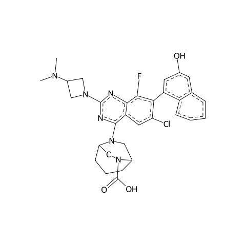 CN(C)C1CN(c2nc(N3CC4CCCC3CN4C(=O)O)c3cc(Cl)c(-c4cc(O)cc5ccccc45)c(F)c3n2)C1